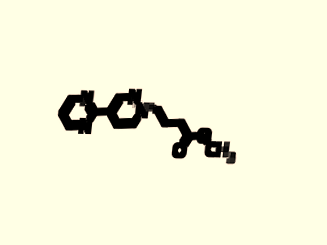 COC(=O)CCC[n+]1ccc(-c2ncccn2)cn1